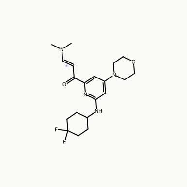 CN(C)/C=C/C(=O)c1cc(N2CCOCC2)cc(NC2CCC(F)(F)CC2)n1